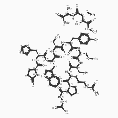 CC(C)C[C@H](NC(=O)[C@@H](COC(C)(C)C)NC(=O)[C@H](Cc1ccc(O)cc1)NC(=O)[C@H](CO)NC(=O)[C@H](Cc1c[nH]c2ccccc12)NC(=O)[C@H](Cc1c[nH]cn1)NC(=O)[C@@H]1CCC(=O)N1)C(=O)N[C@@H](CCCNC(=N)N)C(=O)N1CCC[C@H]1C(=O)NNC(N)=O.CNC(=O)[C@@H](NC(=O)[C@H](CC(C)C)[C@H](O)C(=O)NO)C(C)(C)C